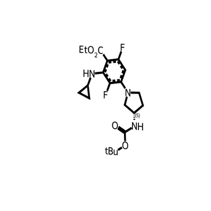 CCOC(=O)c1c(F)cc(N2CC[C@H](NC(=O)OC(C)(C)C)C2)c(F)c1NC1CC1